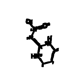 O=[N+]([O-])N=C1NC=CCN1